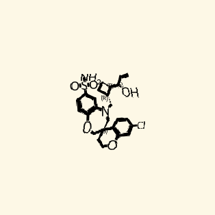 C=C[C@H](O)[C@@H]1CC[C@H]1CN1C[C@@]2(CCOc3cc(Cl)ccc32)COc2ccc(S(N)(=O)=O)cc21